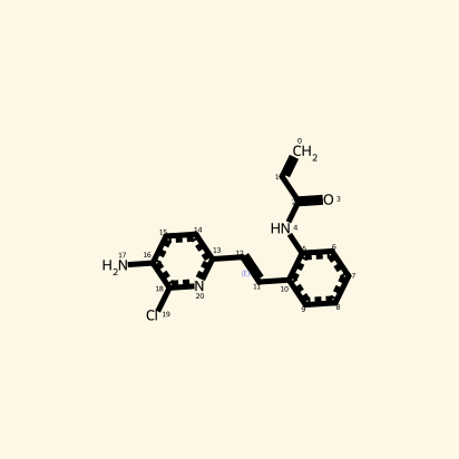 C=CC(=O)Nc1ccccc1/C=C/c1ccc(N)c(Cl)n1